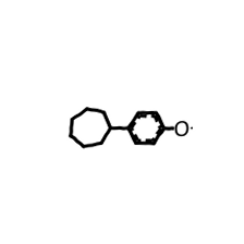 [O]c1ccc(C2CCCCCC2)cc1